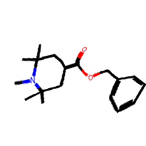 CN1C(C)(C)CC(C(=O)OCc2ccccc2)CC1(C)C